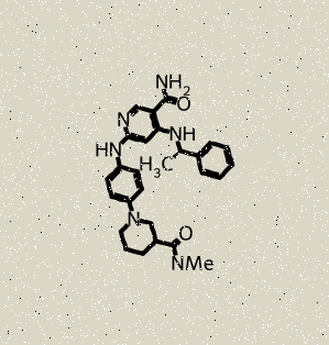 CNC(=O)C1CCCN(c2ccc(Nc3cc(N[C@H](C)c4ccccc4)c(C(N)=O)cn3)cc2)C1